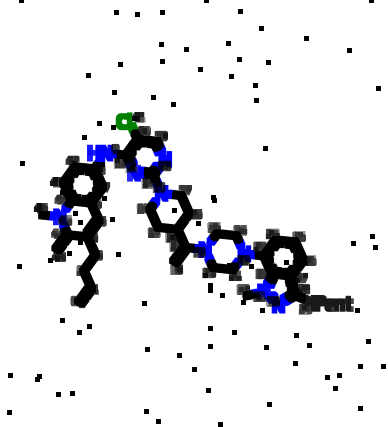 C=CCCC1=Cc2cc(Nc3nc(N4CCC(C(=C)N5CCN(c6cccc7c(C(C)CCC)nn(C)c67)CC5)CC4)ncc3Cl)ccc2N(C)C1=C